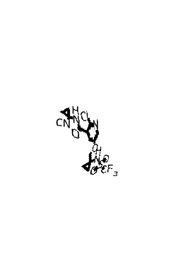 N#CC1(NC(=O)c2cc(OCC3(NS(=O)(=O)C(F)(F)F)CC3)cnc2Cl)CC1